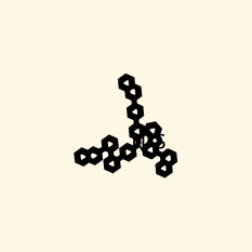 c1ccc(-c2ccccc2-c2ccc3ccccc3c2)c(-c2ccc(N(c3ccc(-c4ccc(-c5ccc6ccccc6c5)cc4)cc3)c3ccc(-c4cccc5ccccc45)c4sc5ccccc5c34)cc2)c1